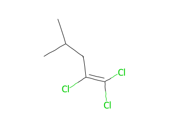 CC(C)CC(Cl)=C(Cl)Cl